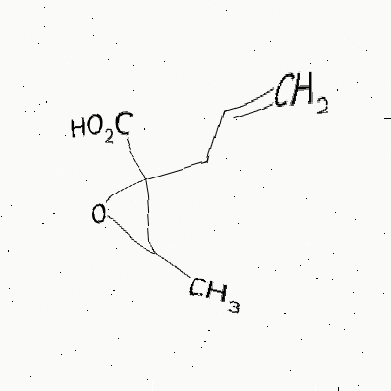 C=CCC1(C(=O)O)OC1C